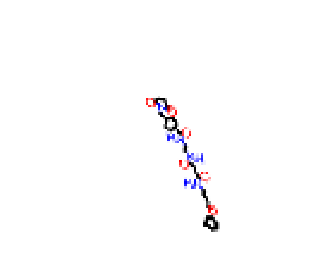 O=C(CCC(=O)NCCNC(=O)C1CCC(CN2C(=O)C=CC2=O)CC1)NCCCCOc1ccccc1